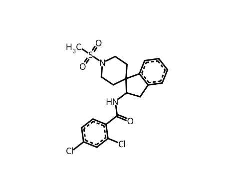 CS(=O)(=O)N1CCC2(CC1)c1ccccc1CC2NC(=O)c1ccc(Cl)cc1Cl